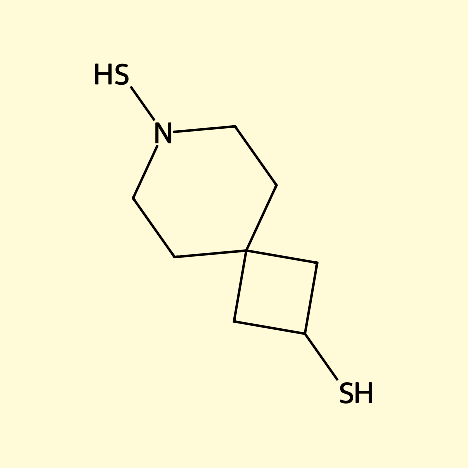 SC1CC2(CCN(S)CC2)C1